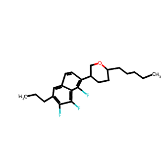 CCCCCC1CCC(c2ccc3cc(CCC)c(F)c(F)c3c2F)CO1